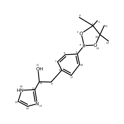 CC1(C)OB(c2ccc(CC(O)c3ncc[nH]3)cc2)OC1(C)C